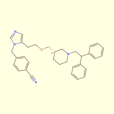 N#Cc1ccc(Cn2cncc2CCSC[C@H]2CCCN(CC(c3ccccc3)c3ccccc3)C2)cc1